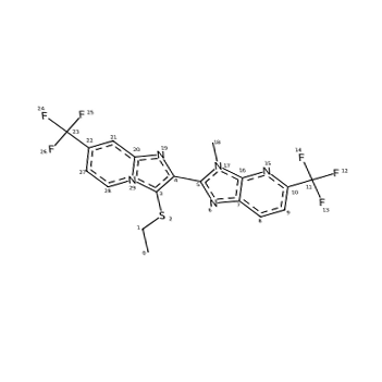 CCSc1c(-c2nc3ccc(C(F)(F)F)nc3n2C)nc2cc(C(F)(F)F)ccn12